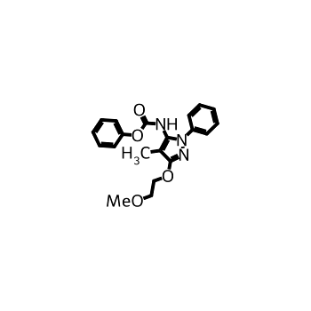 COCCOc1nn(-c2ccccc2)c(NC(=O)Oc2ccccc2)c1C